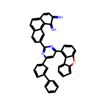 N=C1C=Cc2ccc3ccc(-c4nc(-c5cccc(-c6ccccc6)c5)cc(-c5cccc6oc7ccccc7c56)n4)cc3c2C1=N